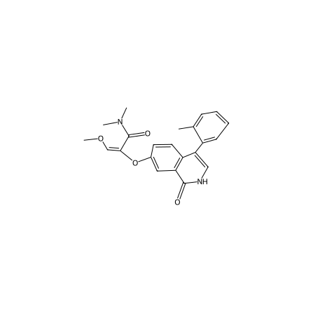 COC=C(Oc1ccc2c(-c3ccccc3C)c[nH]c(=O)c2c1)C(=O)N(C)C